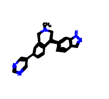 CN1Cc2cc(-c3cncnc3)ccc2C(c2ccc3cn[nH]c3c2)C1